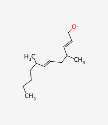 CCCCC(C)C=CCC(C)C=CC[O]